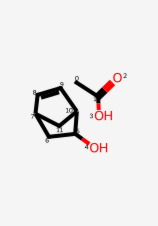 CC(=O)O.OC1CC2C=CC1C2